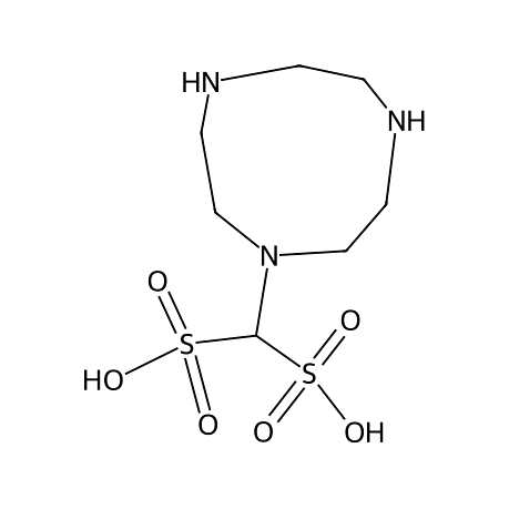 O=S(=O)(O)C(N1CCNCCNCC1)S(=O)(=O)O